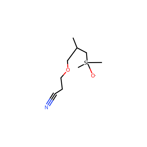 CC(COCCC#N)C[Si](C)(C)[O]